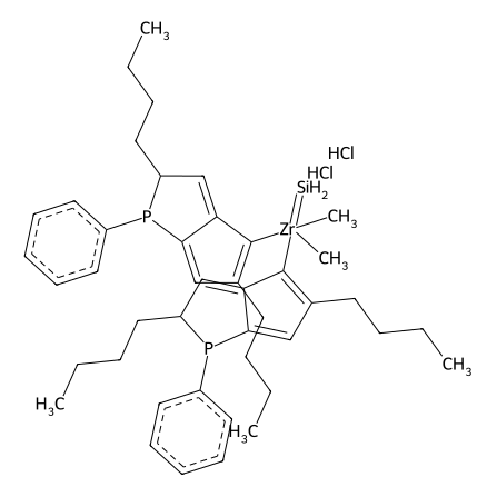 CCCCC1=[C]([Zr]([CH3])([CH3])(=[SiH2])[C]2=C(CCCC)C=C3C2=CC(CCCC)P3c2ccccc2)C2=CC(CCCC)P(c3ccccc3)C2=C1.Cl.Cl